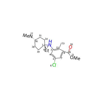 CC[C@]1(Nc2cc(Cl)cc(C(=O)OC)c2C)CC[C@@H](NC)CC1